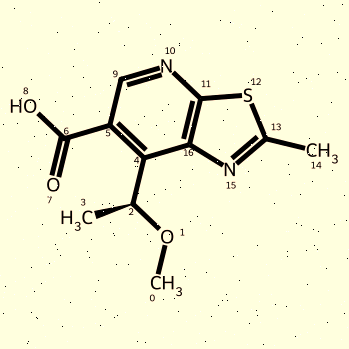 CO[C@@H](C)c1c(C(=O)O)cnc2sc(C)nc12